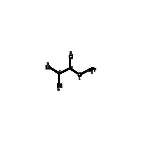 CCCOC(Cl)C(CC)CC